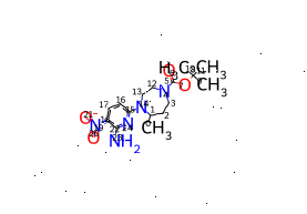 CC1CCN(C(=O)OC(C)(C)C)CCN1c1ccc([N+](=O)[O-])c(N)n1